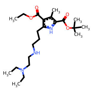 CCOC(=O)c1c(CCCNCCN(CC)CC)[nH]c(C(=O)OC(C)(C)C)c1C